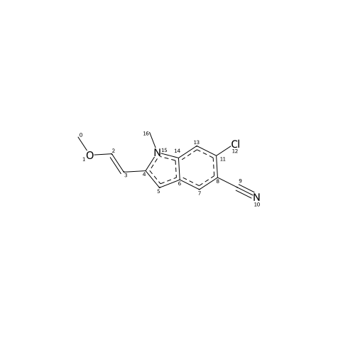 CO/C=C/c1cc2cc(C#N)c(Cl)cc2n1C